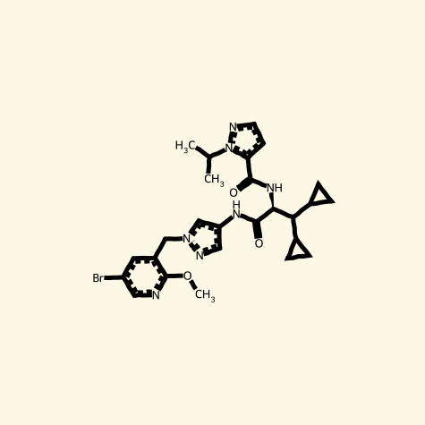 COc1ncc(Br)cc1Cn1cc(NC(=O)[C@@H](NC(=O)c2ccnn2C(C)C)C(C2CC2)C2CC2)cn1